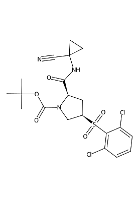 CC(C)(C)OC(=O)N1C[C@H](S(=O)(=O)c2c(Cl)cccc2Cl)C[C@@H]1C(=O)NC1(C#N)CC1